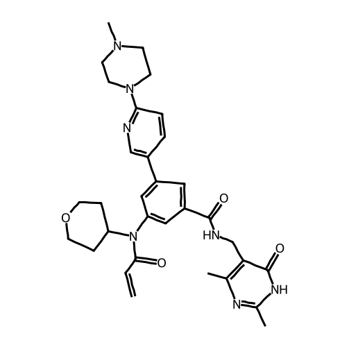 C=CC(=O)N(c1cc(C(=O)NCc2c(C)nc(C)[nH]c2=O)cc(-c2ccc(N3CCN(C)CC3)nc2)c1)C1CCOCC1